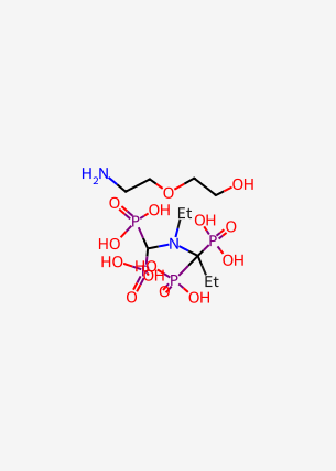 CCN(C(P(=O)(O)O)P(=O)(O)O)C(CC)(P(=O)(O)O)P(=O)(O)O.NCCOCCO